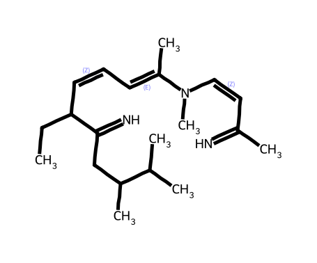 CCC(/C=C\C=C(/C)N(C)/C=C\C(C)=N)C(=N)CC(C)C(C)C